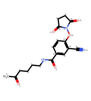 CC(=O)CCCCNC(=O)c1ccc(ON2C(=O)CCC2=O)c(C#N)c1